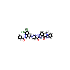 CCC(CC(CNC(=O)c1ccccc1)c1ccc(Cl)c(Cl)c1)N1CCC(C(=O)c2nc3c(C(=O)c4nc5ccccc5n4CC(F)(F)F)cccc3[nH]2)CC1